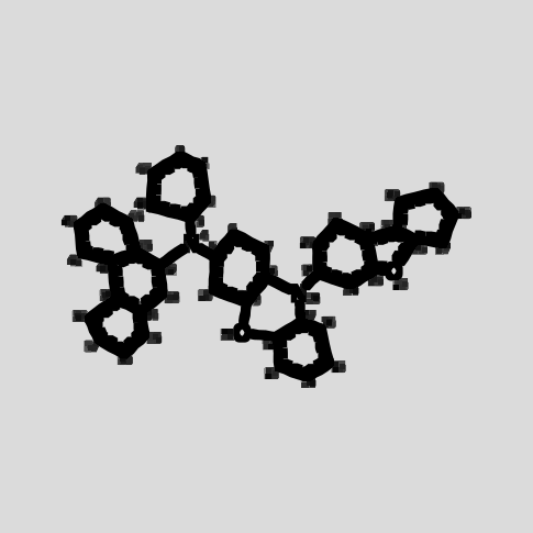 c1ccc(N(c2ccc3c(c2)Oc2ccccc2N3c2ccc3c(c2)oc2ccccc23)c2cc3ccccc3c3ccccc23)cc1